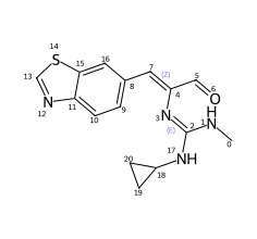 CN/C(=N\C(C=O)=C/c1ccc2ncsc2c1)NC1CC1